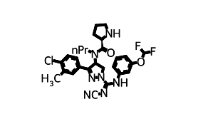 CCCN(C(=O)[C@H]1CCCN1)C1CN(/C(=N\C#N)Nc2cccc(OC(F)F)c2)N=C1c1ccc(Cl)c(C)c1